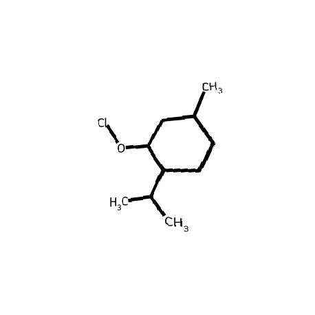 CC1CCC(C(C)C)C(OCl)C1